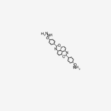 NNOc1ccc(C2=Nc3ccc4c5c(ccc(c35)O2)N=C(c2ccc(ON)cc2)O4)cc1